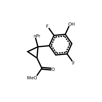 CCCC1(c2cc(F)cc(O)c2F)CC1C(=O)OC